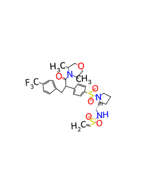 C=CS(=O)(=O)NC[C@H]1CCCN1S(=O)(=O)c1ccc(C(Cc2ccc(C(F)(F)F)cc2)C(=O)N2C(C)COCC2C)cc1